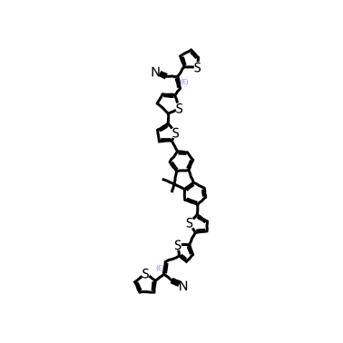 CC1(C)c2cc(-c3ccc(-c4ccc(/C=C(\C#N)c5cccs5)s4)s3)ccc2-c2ccc(-c3ccc(C4CC=C(/C=C(\C#N)c5cccs5)S4)s3)cc21